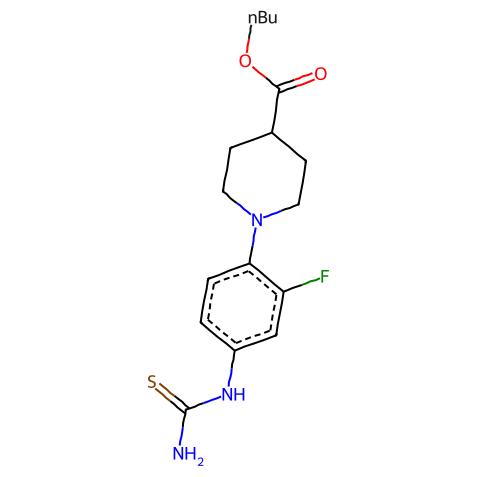 CCCCOC(=O)C1CCN(c2ccc(NC(N)=S)cc2F)CC1